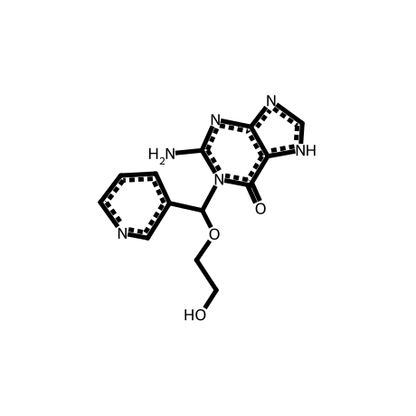 Nc1nc2nc[nH]c2c(=O)n1C(OCCO)c1cccnc1